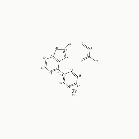 C=CC(=C)C.CC1=Cc2c(cccc2-c2ccccc2)C1.[Zr]